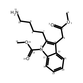 COC(=O)Cc1c(CCCCN)n(C(=O)OC)c2ccccc12